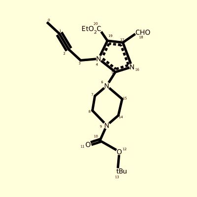 CC#CCn1c(N2CCN(C(=O)OC(C)(C)C)CC2)nc(C=O)c1C(=O)OCC